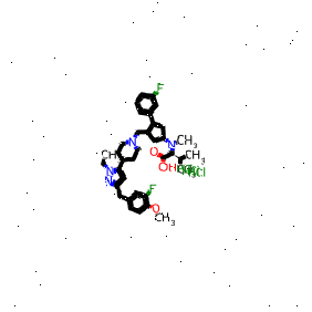 CCn1nc(Cc2ccc(OC)c(F)c2)cc1C1CCN(CC2CC(N(C)[C@@H](C(=O)O)C(C)C)CC2c2cccc(F)c2)CC1.Cl.Cl.Cl